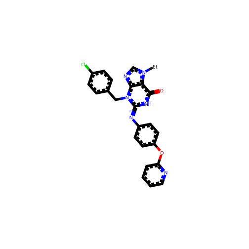 CCn1cnc2c1c(=O)[nH]/c(=N\c1ccc(Oc3ccccn3)cc1)n2Cc1ccc(Cl)cc1